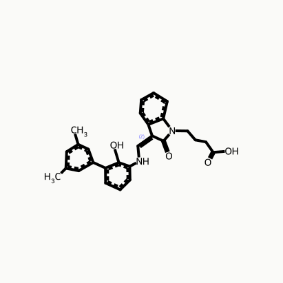 Cc1cc(C)cc(-c2cccc(N/C=C3\C(=O)N(CCCC(=O)O)c4ccccc43)c2O)c1